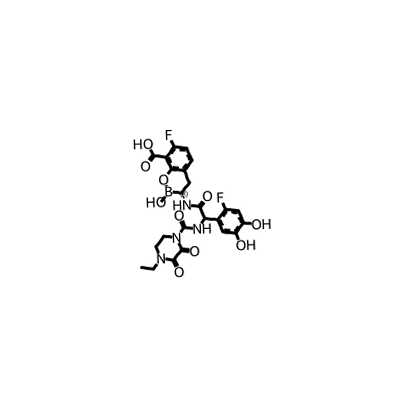 CCN1CCN(C(=O)NC(C(=O)N[C@H]2Cc3ccc(F)c(C(=O)O)c3OB2O)c2cc(O)c(O)cc2F)C(=O)C1=O